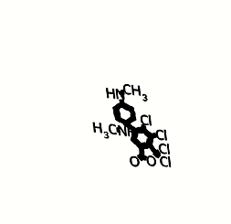 CNC1=CCC(NC)(c2cc3c(c(Cl)c2Cl)C(Cl)(Cl)OC3=O)C=C1